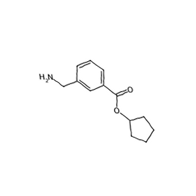 NCc1cccc(C(=O)OC2CCCC2)c1